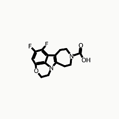 O=C(O)N1CCc2c(n3c4c(cc(F)c(F)c24)OCC3)CC1